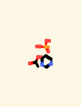 CC(=O)O.O=[PH](O)O.c1cncnc1